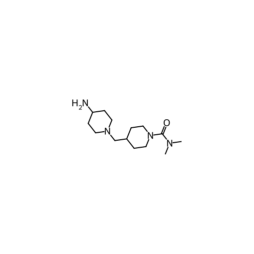 CN(C)C(=O)N1CCC(CN2CCC(N)CC2)CC1